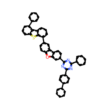 c1ccc(-c2ccc(-c3nc(-c4ccccc4)nc(-c4ccc5c(c4)oc4ccc(-c6cccc7c6sc6cccc(-c8ccccc8)c67)cc45)n3)cc2)cc1